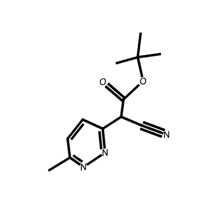 Cc1ccc(C(C#N)C(=O)OC(C)(C)C)nn1